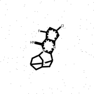 N=c1c2c(F)cc(Cl)cc2nc2n1C1CC3CC(CC2C3)C1